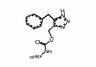 CCCCCCNC(=O)OCc1nn[nH]c1Cc1ccccc1